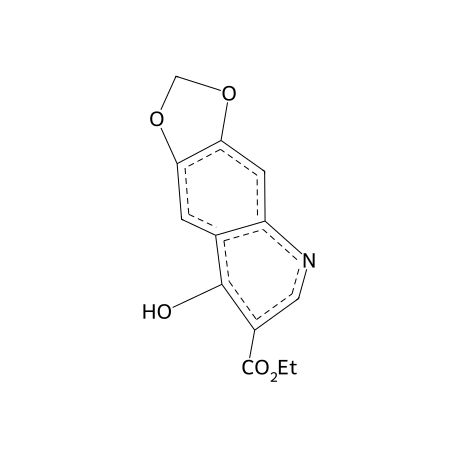 CCOC(=O)c1cnc2cc3c(cc2c1O)OCO3